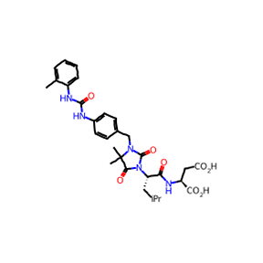 Cc1ccccc1NC(=O)Nc1ccc(CN2C(=O)N([C@@H](CC(C)C)C(=O)N[C@@H](CC(=O)O)C(=O)O)C(=O)C2(C)C)cc1